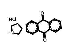 C1CCNC1.Cl.O=C1c2ccccc2C(=O)c2ccccc21